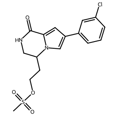 CS(=O)(=O)OCCC1CNC(=O)c2cc(-c3cccc(Cl)c3)cn21